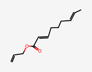 C=CCOC(=O)C=CCCCC=CC